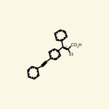 CC/C(C(=O)O)=C(/c1ccccc1)c1ccc(C#Cc2ccccc2)cc1